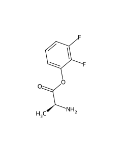 C[C@H](N)C(=O)Oc1cccc(F)c1F